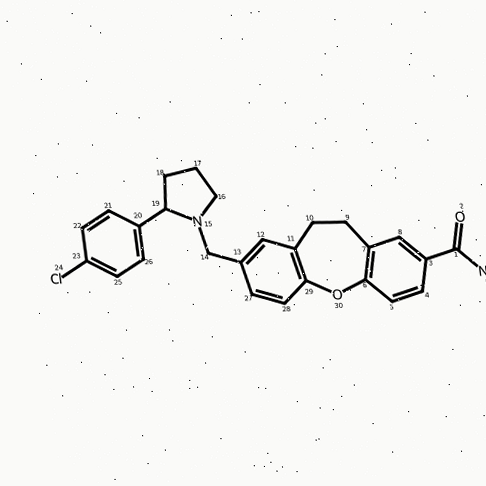 NC(=O)c1ccc2c(c1)CCc1cc(CN3CCCC3c3ccc(Cl)cc3)ccc1O2